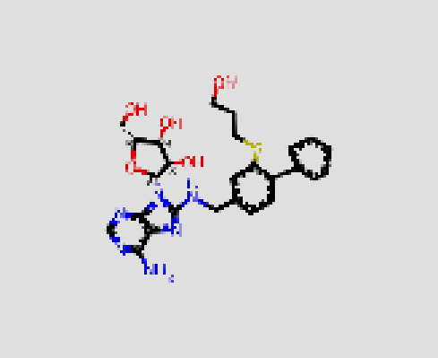 Nc1ncnc2c1nc(NCc1ccc(-c3ccccc3)c(SCCCO)c1)n2[C@@H]1O[C@H](CO)[C@@H](O)[C@H]1O